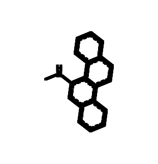 CNc1cc2ccccc2c2ccc3ccccc3c12